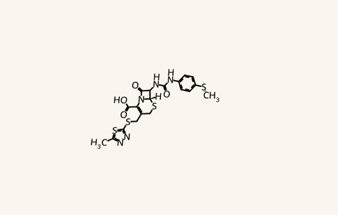 CSc1ccc(NC(=O)NC2C(=O)N3C(C(=O)O)=C(CSc4nnc(C)s4)CS[C@@H]23)cc1